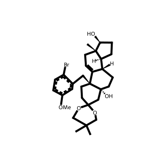 COc1ccc(Br)c(C[C@]23CCC4(C[C@]2(O)CC[C@@H]2C3=CC[C@]3(C)[C@@H](O)CC[C@@H]23)OCC(C)(C)CO4)c1